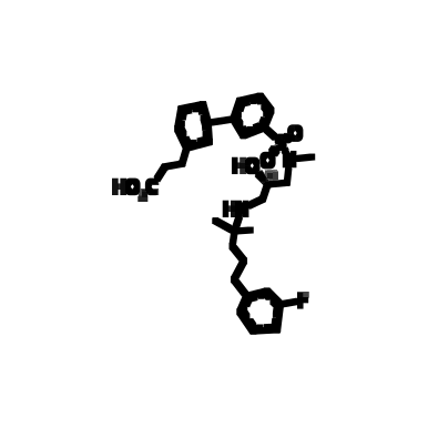 CN(C[C@H](O)CNC(C)(C)CCCc1cccc(F)c1)S(=O)(=O)c1cccc(-c2cccc(CCC(=O)O)c2)c1